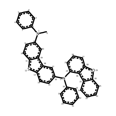 CN(c1ccccc1)c1ccc2sc3ccc(N(c4ccccc4)c4cccc5oc6ccccc6c45)cc3c2c1